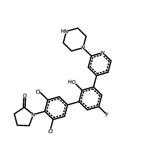 O=C1CCCN1c1c(Cl)cc(-c2cc(F)cc(-c3ccnc(N4CCNCC4)c3)c2O)cc1Cl